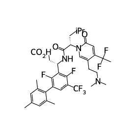 Cc1cc(C)c(-c2cc(C(F)(F)F)c(F)c([C@H](CC(=O)O)NC(=O)[C@H](CC(C)C)n3cc(CCN(C)C)c(C(C)(F)F)cc3=O)c2F)c(C)c1